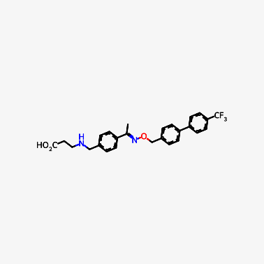 C/C(=N\OCc1ccc(-c2ccc(C(F)(F)F)cc2)cc1)c1ccc(CNCCC(=O)O)cc1